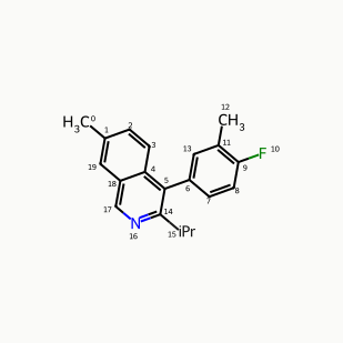 Cc1ccc2c(-c3ccc(F)c(C)c3)c(C(C)C)ncc2c1